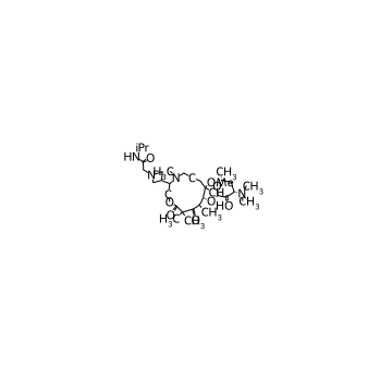 CO[C@]1(C)CCCN(C)C(C2CN(CC(=O)NC(C)C)C2)COC(=O)C(C)(C)C(=O)[C@H](C)[C@H]1O[C@@H]1O[C@H](C)C[C@H](N(C)C)[C@H]1O